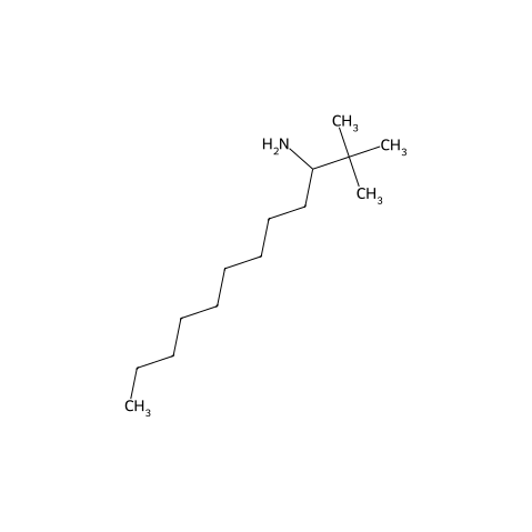 CCCCCCCCCC(N)C(C)(C)C